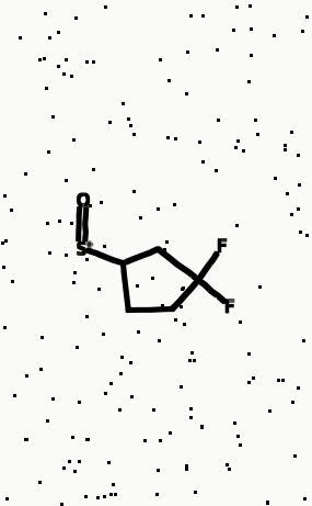 O=[S+]C1CCC(F)(F)C1